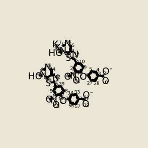 O=C([O-])c1ccc(Oc2ccc(C3=NC4=CN=CN(O)C4S3)cc2[N+](=O)[O-])cc1.O=C([O-])c1ccc(Oc2ccc(C3=NC4=CN=CN(O)C4S3)cc2[N+](=O)[O-])cc1.[K+].[K+]